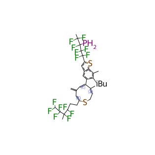 C=C1/C=C(/CCC(F)(F)C(C)(F)C(F)(F)C(F)F)SC/C=C(C)\C(c2cc3cc(C(F)(F)C(F)(F)C(F)(P)C(C)(F)F)sc3c(C)c2C(C)CC)=C/1